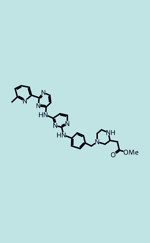 COC(=O)CC1CN(Cc2ccc(Nc3nccc(Nc4ccnc(-c5cccc(C)n5)n4)n3)cc2)CCN1